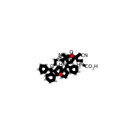 N#CC=C(CCNC(=O)O)C(=O)Nc1cnn(CCOC(c2ccccc2)(c2ccccc2)c2ccccc2)c1NC(c1ccccc1)(c1ccccc1)c1ccccc1